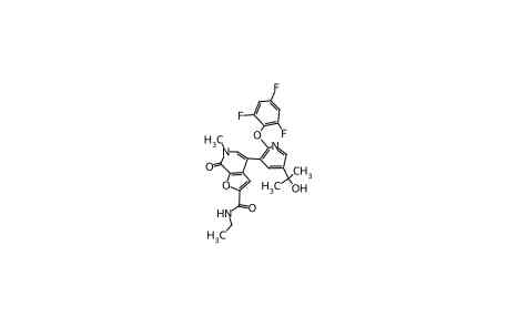 CCNC(=O)c1cc2c(-c3cc(C(C)(C)O)cnc3Oc3c(F)cc(F)cc3F)cn(C)c(=O)c2o1